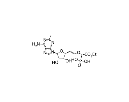 CCOC(=O)[C@H](O/C=C/[C@@H]1O[C@H](n2cnc3c(N)nc(C)nc32)[C@@H](O)[C@H]1O)P(=O)(O)O